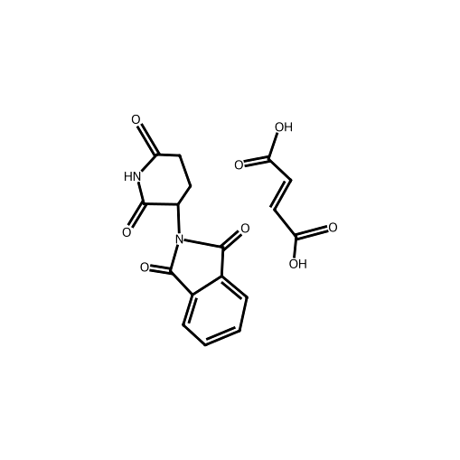 O=C(O)/C=C/C(=O)O.O=C1CCC(N2C(=O)c3ccccc3C2=O)C(=O)N1